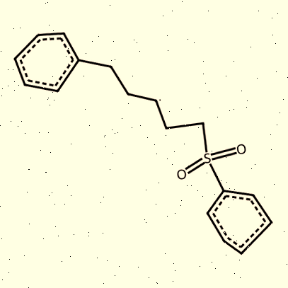 O=S(=O)(CC[CH]CCc1ccccc1)c1ccccc1